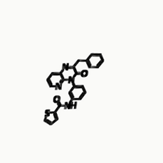 O=C(Nc1cccc(-n2c(=O)c(Cc3ccccc3)nc3cccnc32)c1)c1cccs1